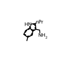 CCCc1[nH]c2ccc(C)cc2c1CN